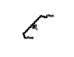 CCCCC/C=C\C/C=C\CCCCCCCCC(CCCCCCCC/C=C\CC/C=C\CCCCC)N(C)CC